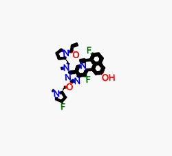 C#Cc1c(F)ccc2cc(O)cc(-c3ncc4c(N(C)C[C@@H]5CCCN5C(=O)C=C)nc(OC[C@@H]5C[C@@H](F)CN5C)nc4c3F)c12